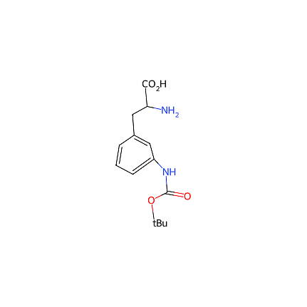 CC(C)(C)OC(=O)Nc1cccc(CC(N)C(=O)O)c1